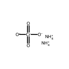 [NH4+].[NH4+].[O]=[Cr](=[O])([O-])[O-]